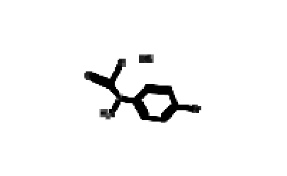 Cl.NN(C(=O)Cl)c1ccc(Br)cc1